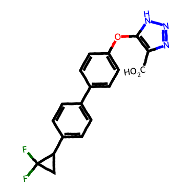 O=C(O)c1nn[nH]c1Oc1ccc(-c2ccc(C3CC3(F)F)cc2)cc1